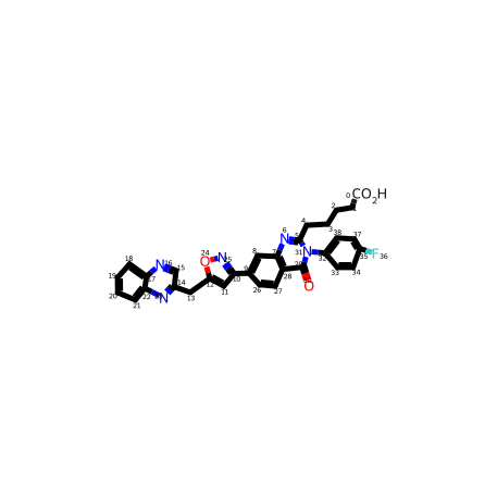 O=C(O)CCCCc1nc2cc(-c3cc(Cc4cnc5ccccc5n4)on3)ccc2c(=O)n1-c1ccc(F)cc1